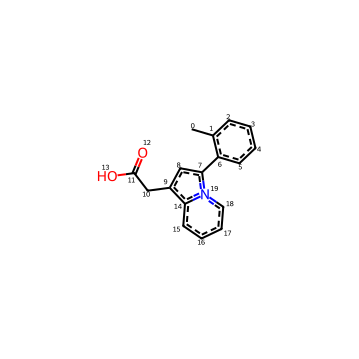 Cc1ccccc1-c1cc(CC(=O)O)c2ccccn12